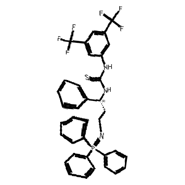 FC(F)(F)c1cc(NC(=S)N[C@H](CCN=P(c2ccccc2)(c2ccccc2)c2ccccc2)c2ccccc2)cc(C(F)(F)F)c1